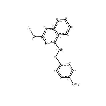 CCOc1nc(NCc2ccc(OC)cc2)c2ccccc2n1